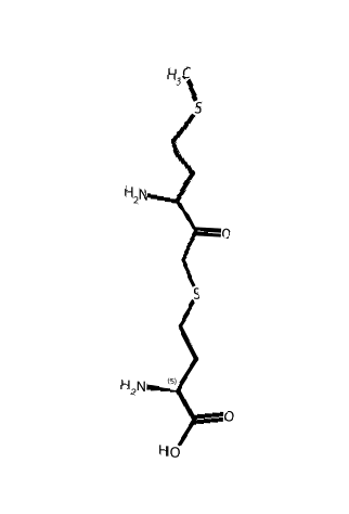 CSCCC(N)C(=O)CSCC[C@H](N)C(=O)O